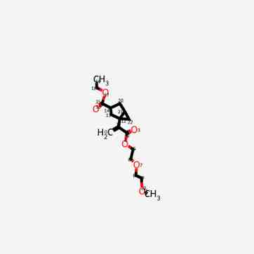 C=C(C(=O)OCCOCCOC)C12CC(C(=O)OCC)CC1C2